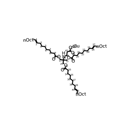 CCCCCCCC/C=C/CCCCCCCC(=O)OCC(COC(=O)CCCCCCC/C=C/CCCCCCCC)(COC(=O)CCCCCCC/C=C/CCCCCCCC)NCCC(=O)OC(C)(C)C